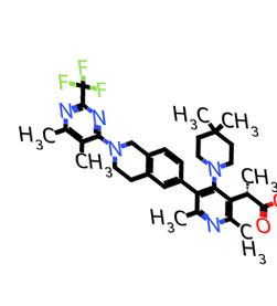 Cc1nc(C(F)(F)F)nc(N2CCc3cc(-c4c(C)nc(C)c([C@H](C)C(=O)O)c4N4CCC(C)(C)CC4)ccc3C2)c1C